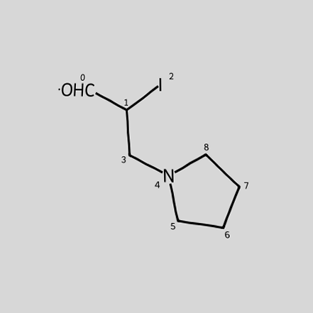 O=[C]C(I)CN1CCCC1